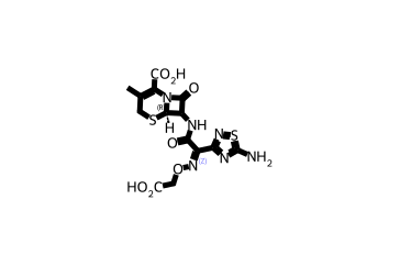 CC1=C(C(=O)O)N2C(=O)C(NC(=O)/C(=N\OCC(=O)O)c3nsc(N)n3)[C@H]2SC1